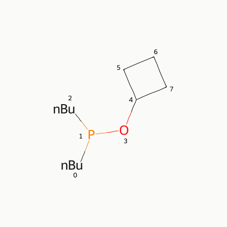 CCCCP(CCCC)OC1CCC1